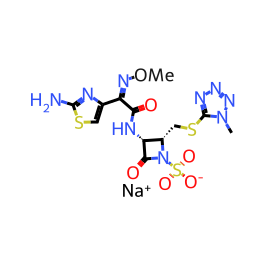 CO/N=C(\C(=O)N[C@H]1C(=O)N(S(=O)(=O)[O-])[C@H]1CSc1nnnn1C)c1csc(N)n1.[Na+]